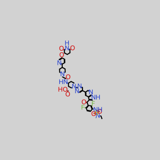 CCN(C)S(=O)(=O)Nc1ccc(F)c(C(=O)c2c[nH]c3ncc(-c4cnc(N5CCC(NC(=O)CN6CCC(c7ccc(OC8CCC(=O)NC8=O)cn7)CC6)CC5)nc4)cc23)c1F.O=CO